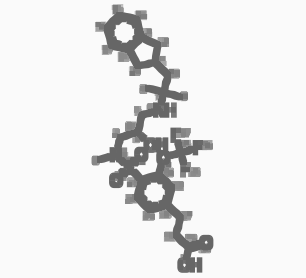 CN(C[C@H](O)CNC(C)(C)CC1Cc2ccccc2C1)S(=O)(=O)c1ccc(CCC(=O)O)cc1OC(F)(F)F